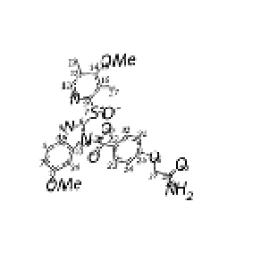 COc1ccc2nc([S+]([O-])c3ncc(C)c(OC)c3C)n(S(=O)(=O)c3ccc(OCC(N)=O)cc3)c2c1